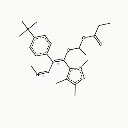 CCC(=O)OC(C)O/C(=C(/C=N\C)c1ccc(C(C)(C)C)cc1)c1c(C)c(C)nn1C